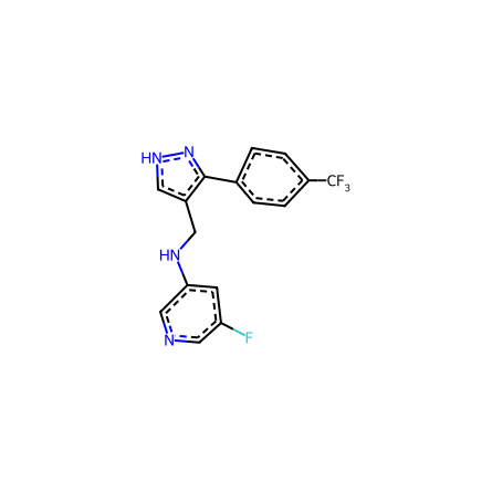 Fc1cncc(NCc2c[nH]nc2-c2ccc(C(F)(F)F)cc2)c1